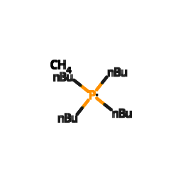 C.CCCC[P](CCCC)(CCCC)CCCC